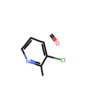 C=O.Cc1ncccc1Cl